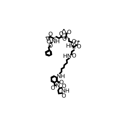 COC(=O)[C@H](CCC(=O)NCCCCCCCCNc1cccc2c1C(=O)N(C1CCC(=O)NC1=O)C2=O)NC(=O)CC[C@H](OC(=O)CC[C@H](NC(=O)OCc1ccccc1)C(=O)OC)C(=O)OC